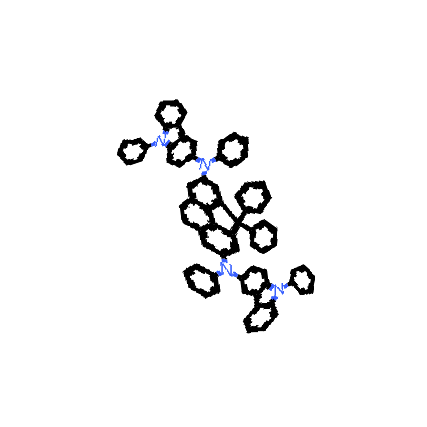 c1ccc(N(c2cc3c4c(ccc5cc(N(c6ccccc6)c6ccc7c(c6)c6ccccc6n7-c6ccccc6)cc(c54)C3(c3ccccc3)c3ccccc3)c2)c2ccc3c(c2)c2ccccc2n3-c2ccccc2)cc1